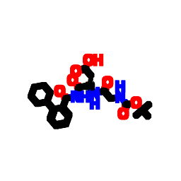 CC(C)(C)OC(=O)NCC(=O)N[C@@H](CC(=O)O)C(=O)NC(=O)c1ccccc1C1CCCCC1